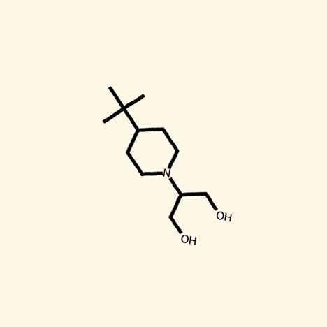 CC(C)(C)C1CCN(C(CO)CO)CC1